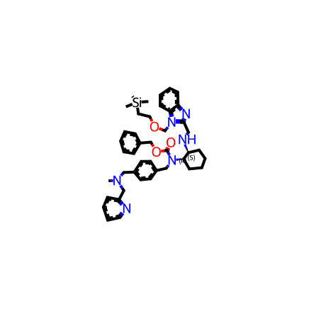 CN(Cc1ccc(CN(C(=O)OCc2ccccc2)[C@@H]2CCCC[C@@H]2NCc2nc3ccccc3n2COCC[Si](C)(C)C)cc1)Cc1ccccn1